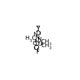 Cc1c(Oc2ccc(F)cc2)c(OC(C)C)nn1-c1ccc(C2CC2)cn1